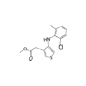 COC(=O)Cc1cscc1Nc1c(C)cccc1Cl